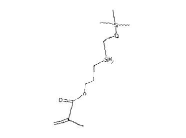 C=C(C)C(=O)OCCC[SiH2]CO[Si](C)(C)C